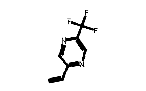 C=Cc1cnc(C(F)(F)F)cn1